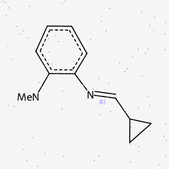 CNc1ccccc1/N=C/C1CC1